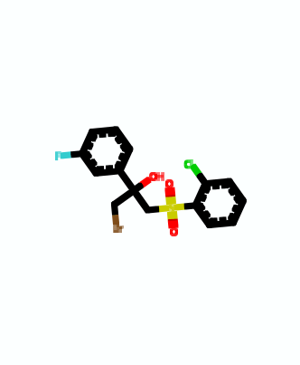 O=S(=O)(CC(O)(CBr)c1cccc(F)c1)c1ccccc1Cl